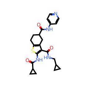 O=C(NCC1CC1)c1c(NC(=O)C2CC2)sc2c1CC(C(=O)Nc1ccncc1)CC2